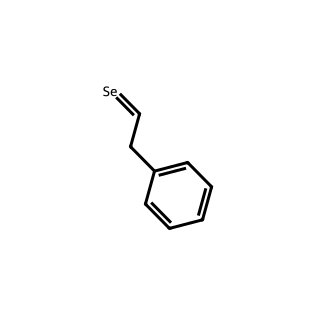 [Se]=CCc1ccccc1